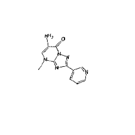 Cn1cc(N)c(=O)n2nc(-c3cccnc3)nc12